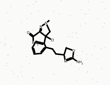 CN1CC(Cl)(c2ccccc2CCC2COC(N)=N2)C(C(N)=O)=N1